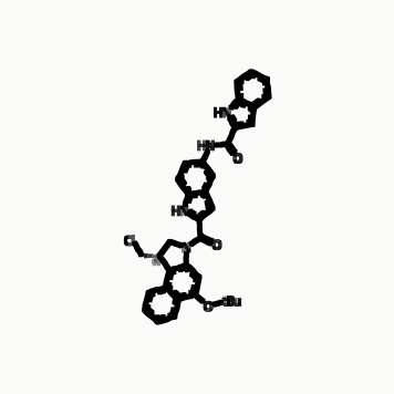 CC(C)(C)Oc1cc2c(c3ccccc13)[C@H](CCl)CN2C(=O)c1cc2cc(NC(=O)c3cc4ccccc4[nH]3)ccc2[nH]1